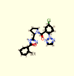 CCc1ccccc1-c1nc(C2CCCN2C(=O)c2cc(Cl)ccc2-n2nccn2)no1